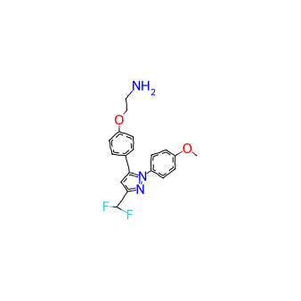 COc1ccc(-n2nc(C(F)F)cc2-c2ccc(OCCN)cc2)cc1